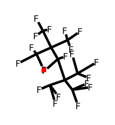 FC(F)(F)C(C(F)(F)F)(C(F)(F)F)C(F)(F)C(C(F)(F)F)(C(F)(F)F)C(F)(F)F